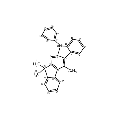 Cc1c2c(cc3c1c1ccccc1n3-c1ccccc1)C(C)(C)c1ccccc1-2